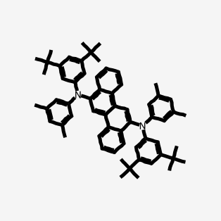 Cc1cc(C)cc(N(c2cc(C(C)(C)C)cc(C(C)(C)C)c2)c2cc3c4ccccc4c(N(c4cc(C)cc(C)c4)c4cc(C(C)(C)C)cc(C(C)(C)C)c4)cc3c3ccccc23)c1